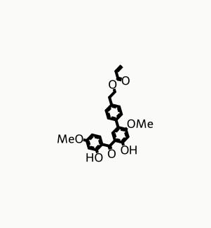 C=CC(=O)OCCc1ccc(-c2cc(C(=O)c3ccc(OC)cc3O)c(O)cc2OC)cc1